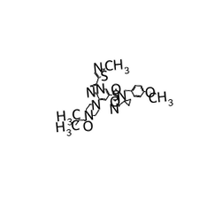 COc1ccc(CN(C2(C#N)CC2)S(=O)(=O)c2cc(N3CCN(C(=O)C(C)C)CC3)c3ncc(-c4cnc(C)s4)n3c2)cc1